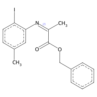 C/C(=N/c1cc(C)ccc1I)C(=O)OCc1ccccc1